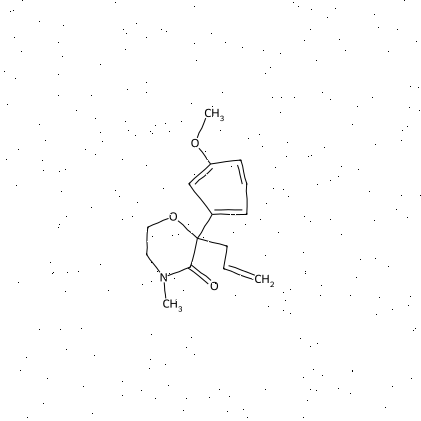 C=CCC1(c2cccc(OC)c2)OCCN(C)C1=O